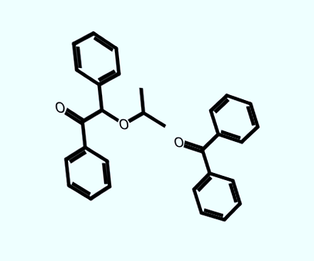 CC(C)OC(C(=O)c1ccccc1)c1ccccc1.O=C(c1ccccc1)c1ccccc1